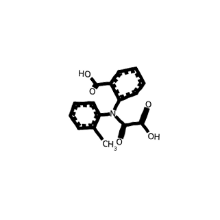 Cc1ccccc1N(C(=O)C(=O)O)c1ccccc1C(=O)O